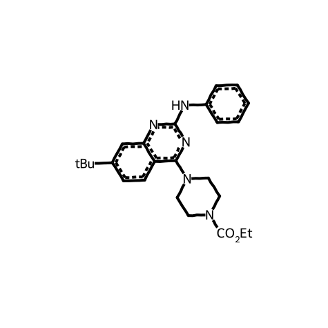 CCOC(=O)N1CCN(c2nc(Nc3ccccc3)nc3cc(C(C)(C)C)ccc23)CC1